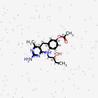 CC[C@H](O)CNc1nc(N)nc(C)c1Cc1cccc(OC(C)=O)c1